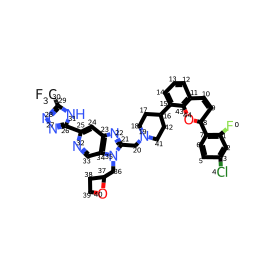 Fc1cc(Cl)ccc1C1C=Cc2cccc(C3CCN(Cc4nc5cc(-c6nnc(C(F)(F)F)[nH]6)ncc5n4CC4CCO4)CC3)c2O1